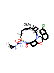 CC[C@@H]1CC1NC(=O)N[S@@]1(=O)=NC(=O)c2ccc3c(c2)N(C[C@@H]2CC[C@H]2[C@@H](OC)/C=C/C[C@H](C)C1)C[C@@]1(CCCc2cc(Cl)ccc21)CO3